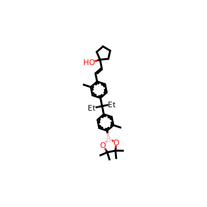 CCC(CC)(c1ccc(C=CC2(O)CCCC2)c(C)c1)c1ccc(B2OC(C)(C)C(C)(C)O2)c(C)c1